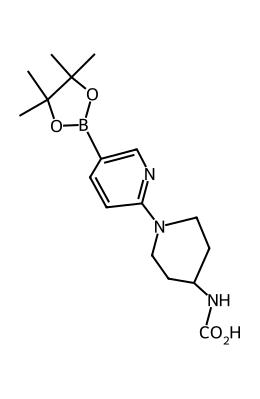 CC1(C)OB(c2ccc(N3CCC(NC(=O)O)CC3)nc2)OC1(C)C